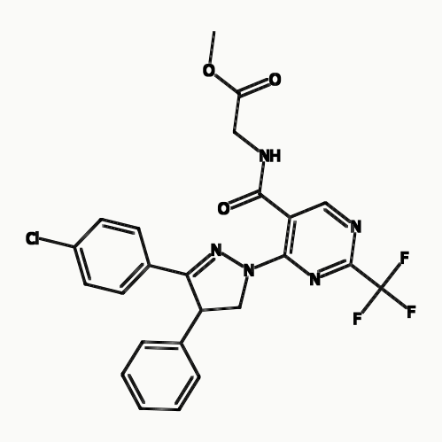 COC(=O)CNC(=O)c1cnc(C(F)(F)F)nc1N1CC(c2ccccc2)C(c2ccc(Cl)cc2)=N1